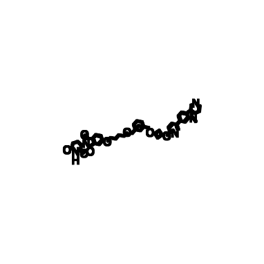 Cn1c2ccncc2c2ccc(-c3ccc(O[C@H]4C[C@H](OCC56CCCC(COCCCCOc7ccc8c(c7)C(=O)N(C7CCC(=O)NC7=O)C8=O)(C5)C6)C4)nc3)cc21